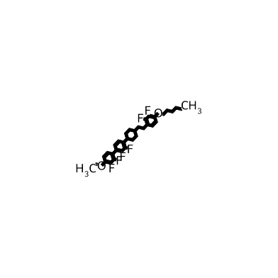 CCCCCCOc1ccc(CCC2CCC(c3ccc(-c4ccc(OCC)c(F)c4F)c(F)c3F)CC2)c(F)c1F